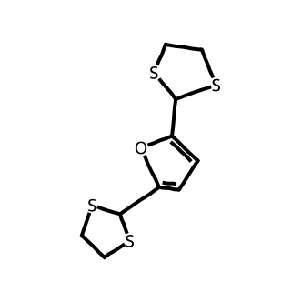 c1cc(C2SCCS2)oc1C1SCCS1